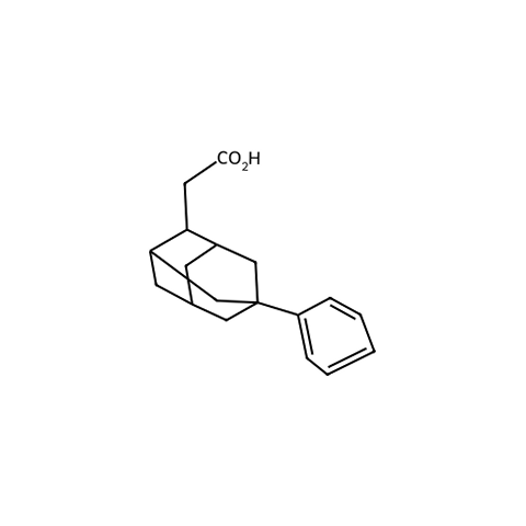 O=C(O)CC1C2CC3CC1CC(c1ccccc1)(C3)C2